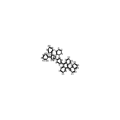 C1=CCCC(n2c(-c3ccc(-c4c5ccccc5c(-c5cccc6ccccc56)c5ccccc45)cc3)nc(-c3ccccc3)c2-c2ccccc2)=C1